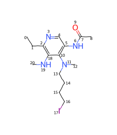 CCc1ncc(NC(C)=O)c(N(C)CCCCI)c1NC